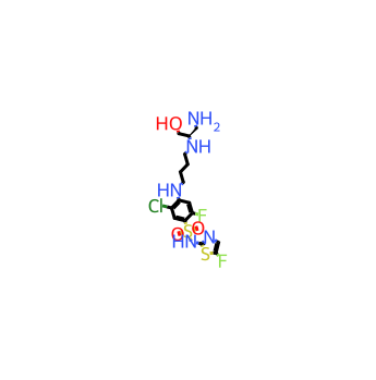 NC[C@H](CO)NCCCCNc1cc(F)c(S(=O)(=O)Nc2ncc(F)s2)cc1Cl